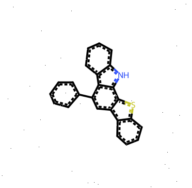 c1ccc(-c2cc3c4ccccc4sc3c3[nH]c4ccccc4c23)cc1